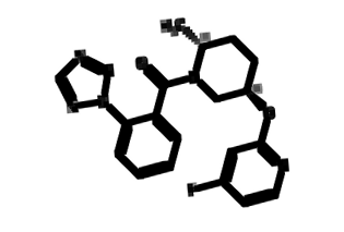 C[C@@H]1CC[C@@H](Oc2cc(F)ccn2)CN1C(=O)c1ccccc1-n1ncnn1